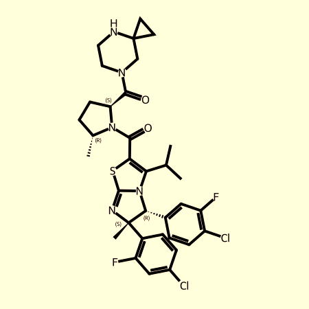 CC(C)C1=C(C(=O)N2[C@H](C)CC[C@H]2C(=O)N2CCNC3(CC3)C2)SC2=N[C@@](C)(c3ccc(Cl)cc3F)[C@@H](c3ccc(Cl)c(F)c3)N21